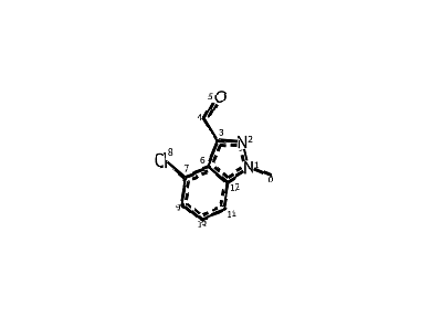 Cn1nc(C=O)c2c(Cl)cccc21